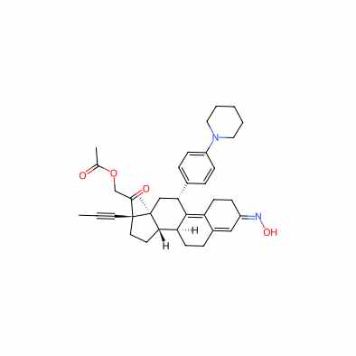 CC#C[C@]1(C(=O)COC(C)=O)CC[C@H]2[C@@H]3CCC4=CC(=NO)CCC4=C3[C@@H](c3ccc(N4CCCCC4)cc3)C[C@@]21C